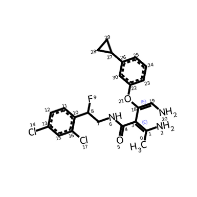 C/C(N)=C(C(=O)NCC(F)c1ccc(Cl)cc1Cl)/C(=C\N)Oc1cccc(C2CC2)c1